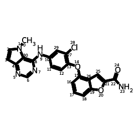 Cn1ccc2ncnc(Nc3ccc(Oc4cccc5oc(C(N)=O)cc45)c(Cl)c3)c21